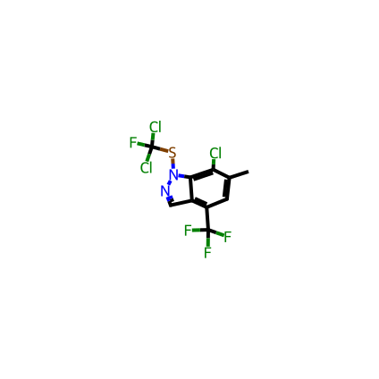 Cc1cc(C(F)(F)F)c2cnn(SC(F)(Cl)Cl)c2c1Cl